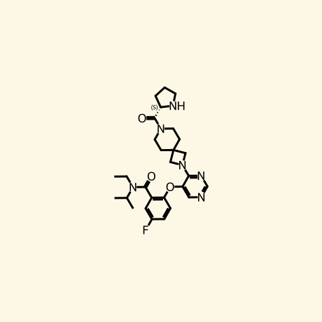 CCN(C(=O)c1cc(F)ccc1Oc1cncnc1N1CC2(CCN(C(=O)[C@@H]3CCCN3)CC2)C1)C(C)C